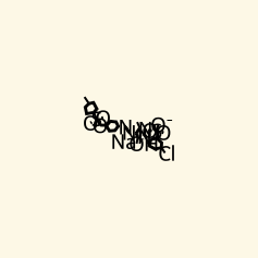 Cc1ccc(S(=O)(=O)Oc2ccc(/N=N/c3c(C)nn(-c4ccc(Cl)cc4S(=O)(=O)[O-])c3O)cc2)cc1.[Na+]